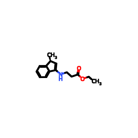 CCOC(=O)CCNC1=C[C@H](C)c2ccccc21